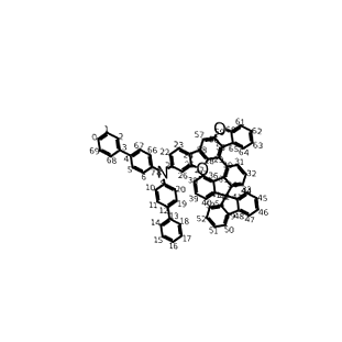 c1ccc(-c2ccc(N(c3ccc(-c4ccccc4)cc3)c3ccc4c(c3)oc3c(-c5cccc6c5-c5ccccc5C65c6ccccc6-c6ccccc65)c5c(cc34)oc3ccccc35)cc2)cc1